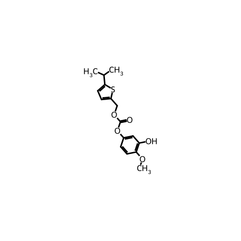 COc1ccc(OC(=O)OCc2ccc(C(C)C)s2)cc1O